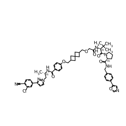 C[C@@H](Cn1ccc(-c2ccc(C#N)c(Cl)c2)n1)NC(=O)c1ccc(OCC2CC3(CC(COCC(=O)N[C@H](C(=O)N4CCC[C@H]4C(=O)NCc4ccc(-c5cnco5)cc4)C(C)(C)C)C3)C2)cc1